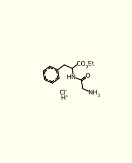 CCOC(=O)C(Cc1ccccc1)NC(=O)CN.[Cl-].[H+]